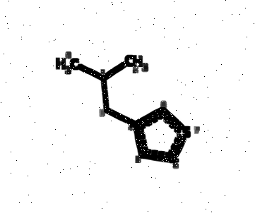 CC(C)Cc1c[c]sc1